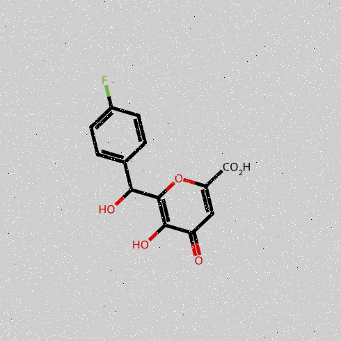 O=C(O)c1cc(=O)c(O)c(C(O)c2ccc(F)cc2)o1